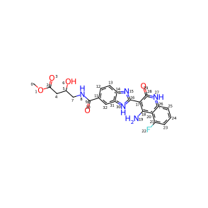 COC(=O)CC(O)CNC(=O)c1ccc2nc(-c3c(N)c4c(F)cccc4[nH]c3=O)[nH]c2c1